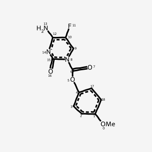 COc1ccc(OC(=O)n2cc(F)c(N)nc2=O)cc1